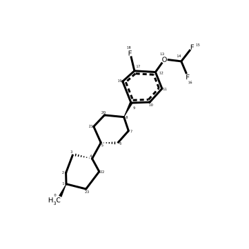 C[C@H]1CC[C@H]([C@H]2CC[C@H](c3ccc(OC(F)F)c(F)c3)CC2)CC1